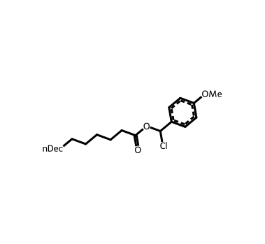 CCCCCCCCCCCCCCCC(=O)OC(Cl)c1ccc(OC)cc1